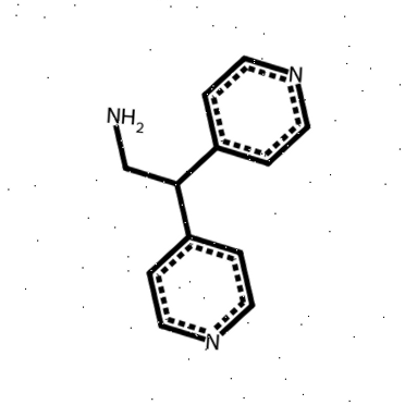 NCC(c1ccncc1)c1ccncc1